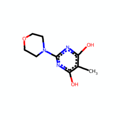 Cc1c(O)nc(N2CCOCC2)nc1O